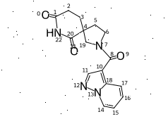 O=C1CCC2(CCN(C(=O)c3cnn4ccccc34)C2)C(=O)N1